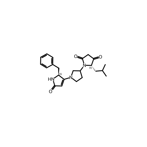 CC(C)C[C@H]1C(=O)CC(=O)N1C1CCN(C2=CC(=O)N[C@H]2Cc2ccccc2)C1